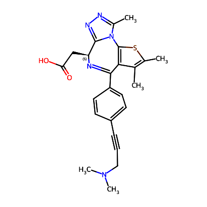 Cc1sc2c(c1C)C(c1ccc(C#CCN(C)C)cc1)=N[C@@H](CC(=O)O)c1nnc(C)n1-2